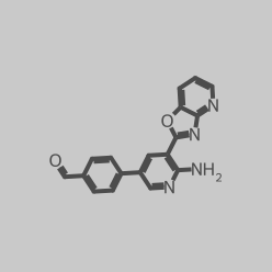 Nc1ncc(-c2ccc(C=O)cc2)cc1-c1nc2ncccc2o1